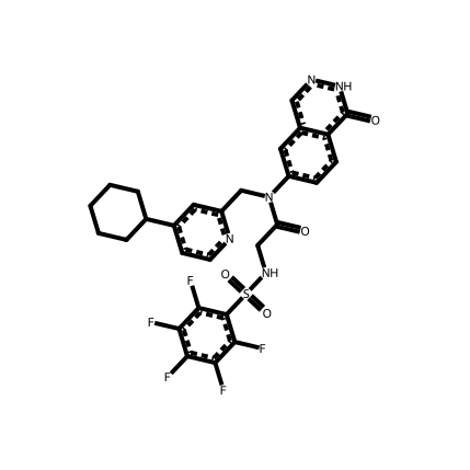 O=C(CNS(=O)(=O)c1c(F)c(F)c(F)c(F)c1F)N(Cc1cc(C2CCCCC2)ccn1)c1ccc2c(=O)[nH]ncc2c1